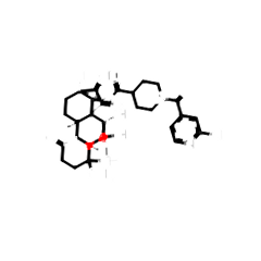 C=C1C(=O)[C@]23[C@H](OC(=O)C4CCN(C(=O)c5ccnc(Cl)c5)CC4)[C@H]1CC[C@H]2[C@@]12CO[C@]3(O)[C@@H](O)[C@@H]1C(C)(C)CCC2=O